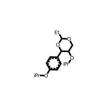 CCC1OCC(OC(C)C)C(c2ccc(OC(C)C)cc2)O1